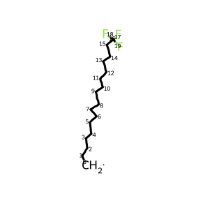 [CH2]CCCCCCCCCCCCCCCC(F)(F)F